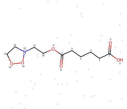 O=C(O)CCCCC(=O)OCCN1CCOO1